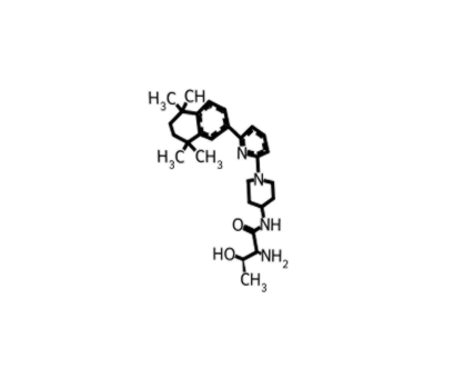 C[C@@H](O)[C@H](N)C(=O)NC1CCN(c2cccc(-c3ccc4c(c3)C(C)(C)CCC4(C)C)n2)CC1